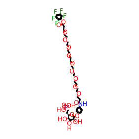 O=C(CCOCCOCCOCCOCCOCCOCCOCCOCCOCCC(=O)Oc1c(F)c(F)c(F)c(F)c1F)Nc1ccc(O[C@H]2O[C@H](CCP(=O)(O)O)[C@@H](O)[C@H](O)[C@@H]2O)cc1